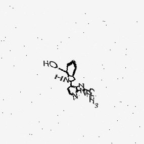 Cc1nc2c(C3Cc4cccc(CO)c4N3)ccnc2[nH]1